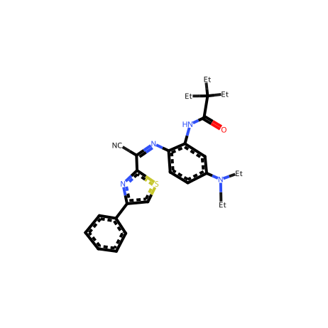 CCN(CC)c1ccc(N=C(C#N)c2nc(-c3ccccc3)cs2)c(NC(=O)C(CC)(CC)CC)c1